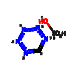 O=S(=O)(O)O.c1nnnnn1